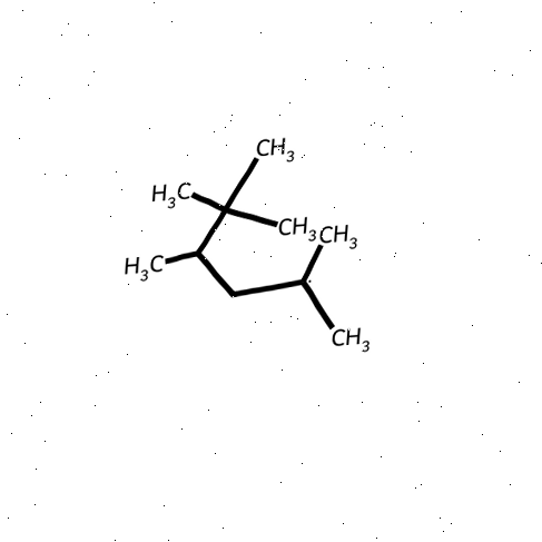 C[C](C)CC(C)C(C)(C)C